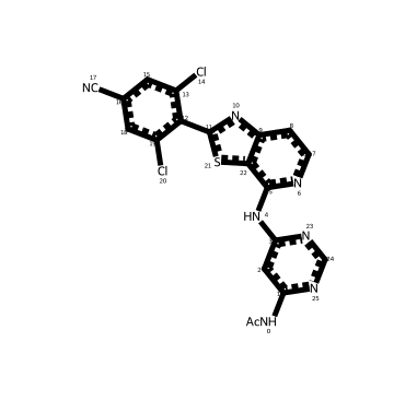 CC(=O)Nc1cc(Nc2nccc3nc(-c4c(Cl)cc(C#N)cc4Cl)sc23)ncn1